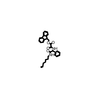 C=CCCCCCNC(=O)C(NC(=O)C(=O)OCC1c2ccccc2-c2ccccc21)c1ccccc1